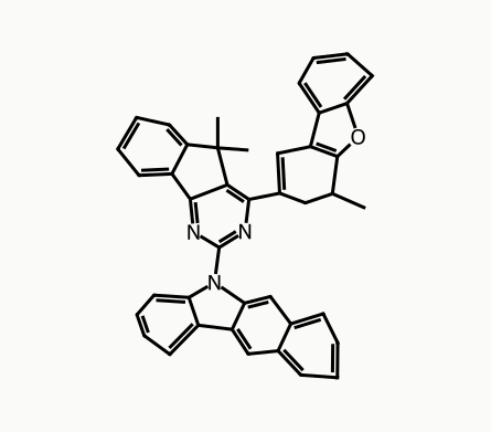 CC1CC(c2nc(-n3c4ccccc4c4cc5ccccc5cc43)nc3c2C(C)(C)c2ccccc2-3)=Cc2c1oc1ccccc21